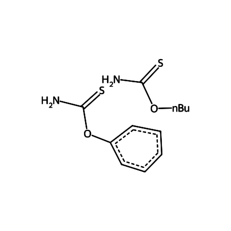 CCCCOC(N)=S.NC(=S)Oc1ccccc1